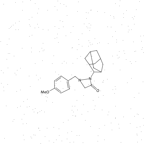 COc1ccc(CN2CC(=O)N2C2C3CC4CC(C3)CC2C4)cc1